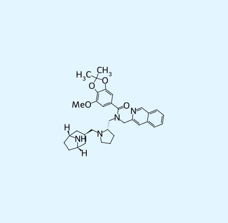 COc1cc(C(=O)N(Cc2cc3ccccc3cn2)C[C@@H]2CCCN2C[C@@H]2C[C@H]3CC[C@@H](C2)N3)cc2c1OC(C)(C)O2